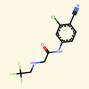 N#Cc1ccc(NC(=O)CNCC(F)(F)F)cc1Cl